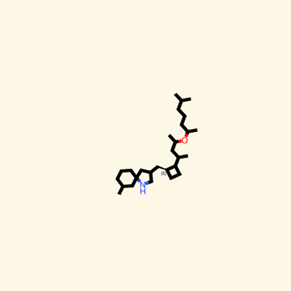 CC(C)CCCC(C)OC(C)CC(C)C1CC[C@H]1CC1CNC2(CCCC(C)C2)C1